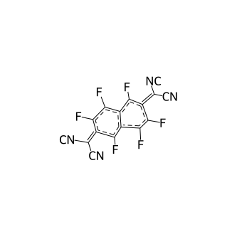 [C-]#[N+]/C(C#N)=c1\c(F)c(F)c2c(F)/c(=C(/C#N)[N+]#[C-])c(F)c(F)c2c1F